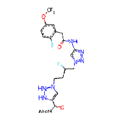 CNC(=O)C1=CN(CCC(F)Cn2cc(NC(=O)Cc3cc(OC(F)(F)F)ccc3F)nn2)NN1